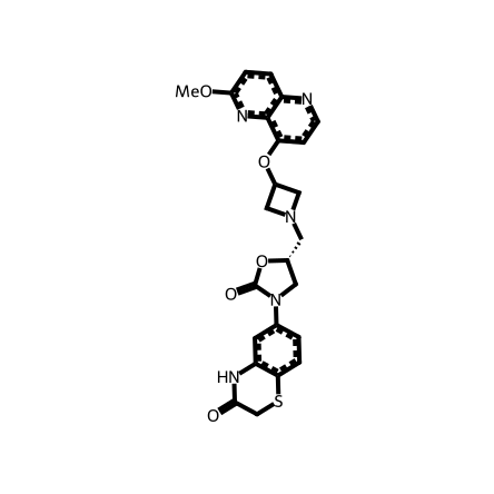 COc1ccc2nccc(OC3CN(C[C@@H]4CN(c5ccc6c(c5)NC(=O)CS6)C(=O)O4)C3)c2n1